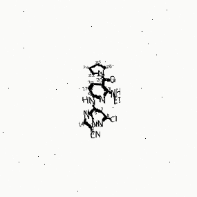 CCNc1nc(Nc2cc(Cl)nn3c(C#N)cnc23)ccc1C(=O)N1CCCC1